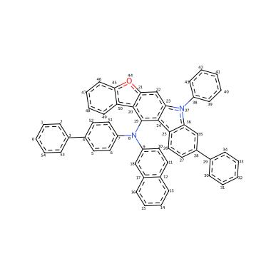 c1ccc(-c2ccc(N(c3ccc4ccccc4c3)c3c4c(cc5c3c3ccc(-c6ccccc6)cc3n5-c3ccccc3)oc3ccccc34)cc2)cc1